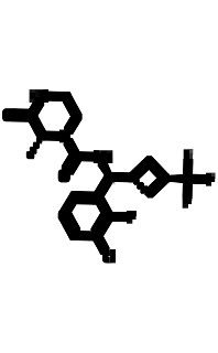 C[C@@H]1C(=O)NCCN1C(=O)N[C@H](c1cccc(Cl)c1F)[C@H]1C[C@H](C(F)(F)F)C1